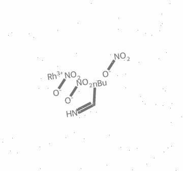 CCCCC=N.O=[N+]([O-])[O-].O=[N+]([O-])[O-].O=[N+]([O-])[O-].[Rh+3]